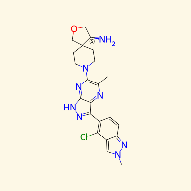 Cc1nc2c(-c3ccc4nn(C)cc4c3Cl)n[nH]c2nc1N1CCC2(CC1)COC[C@H]2N